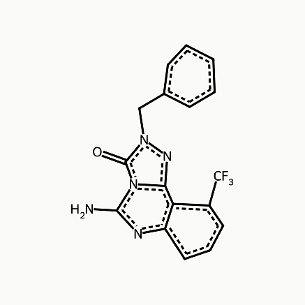 Nc1nc2cccc(C(F)(F)F)c2c2nn(Cc3ccccc3)c(=O)n12